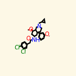 COc1cccc(C23CCN(CC4CC4)CC2C(OC)C[C@H](NC(=O)Cc2ccc(Cl)c(Cl)c2)C3)c1